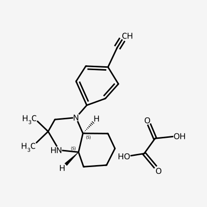 C#Cc1ccc(N2CC(C)(C)N[C@H]3CCCC[C@@H]32)cc1.O=C(O)C(=O)O